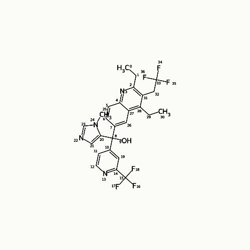 CCc1nc2ccc(C(O)(c3ccnc(C(F)(F)F)c3)c3cncn3C)cc2c(CC)c1CC(F)(F)F